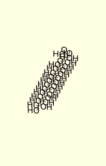 COC(C(=O)O)C(O)C(OC)C(O)C(OC)C(O)C(O)C(O)C(O)C(O)C(O)C(O)C(O)C(O)C(O)C(O)C(O)C(O)C(O)C(O)C(O)C(O)C(O)C(O)C(O)C(O)C(O)CO